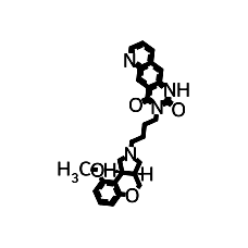 COc1cccc2c1[C@@H]1CN(CCCCn3c(=O)[nH]c4cc5cccnc5cc4c3=O)C[C@H]1CO2